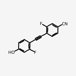 N#Cc1ccc(C#Cc2ccc(O)cc2F)c(F)c1